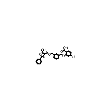 Cc1oc(-c2ccccc2)nc1COCc1cccc(COc2cc(Cl)ccc2C(=O)O)c1